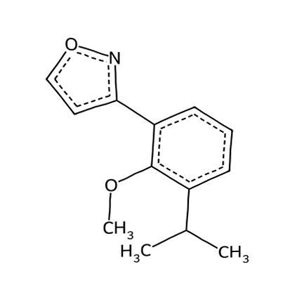 COc1c(-c2ccon2)cccc1C(C)C